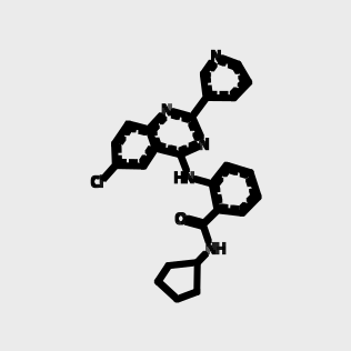 O=C(NC1CCCC1)c1ccccc1Nc1nc(-c2cccnc2)nc2ccc(Cl)cc12